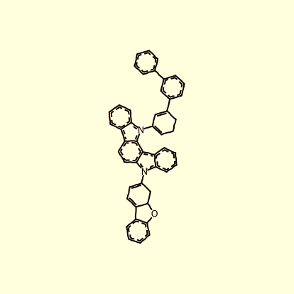 C1=C(c2cccc(-c3ccccc3)c2)CCC=C1n1c2ccccc2c2ccc3c(c4ccccc4n3C3=CC=C4c5ccccc5OC4C3)c21